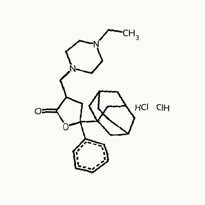 CCN1CCN(CC2CC(c3ccccc3)(C34CC5CC(CC(C5)C3)C4)OC2=O)CC1.Cl.Cl